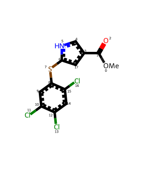 COC(=O)c1c[nH]c(Sc2cc(Cl)c(Cl)cc2Cl)c1